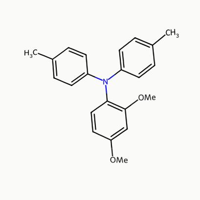 COc1ccc(N(c2ccc(C)cc2)c2ccc(C)cc2)c(OC)c1